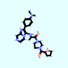 CC(Nc1c(-c2ccc(N(C)C)cc2)nc2cnccn12)C(=O)N1CCN(C(=O)C2CCCO2)CC1